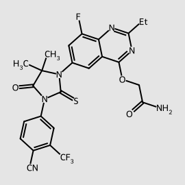 CCc1nc(OCC(N)=O)c2cc(N3C(=S)N(c4ccc(C#N)c(C(F)(F)F)c4)C(=O)C3(C)C)cc(F)c2n1